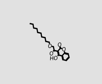 CCCCCCCCCCOCC(=O)c1c(O)c2ccccc2oc1=O